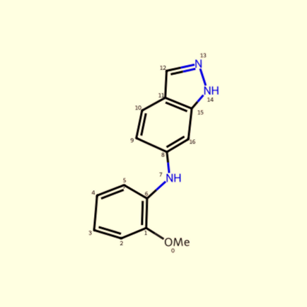 COc1ccc[c]c1Nc1ccc2cn[nH]c2c1